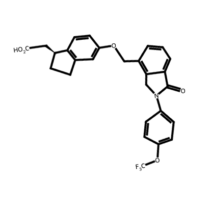 O=C(O)C[C@@H]1CCc2cc(OCc3cccc4c3CN(c3ccc(OC(F)(F)F)cc3)C4=O)ccc21